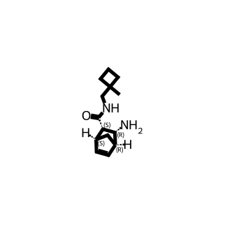 CC1(CNC(=O)[C@@H]2[C@H](N)[C@H]3C=C[C@@H]2C3)CCC1